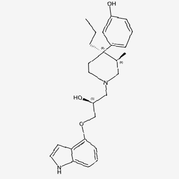 CCC[C@@]1(c2cccc(O)c2)CCN(C[C@H](O)COc2cccc3[nH]ccc23)C[C@@H]1C